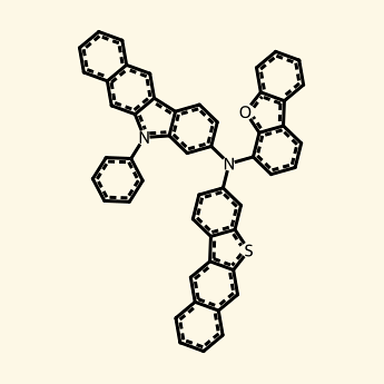 c1ccc(-n2c3cc(N(c4ccc5c(c4)sc4cc6ccccc6cc45)c4cccc5c4oc4ccccc45)ccc3c3cc4ccccc4cc32)cc1